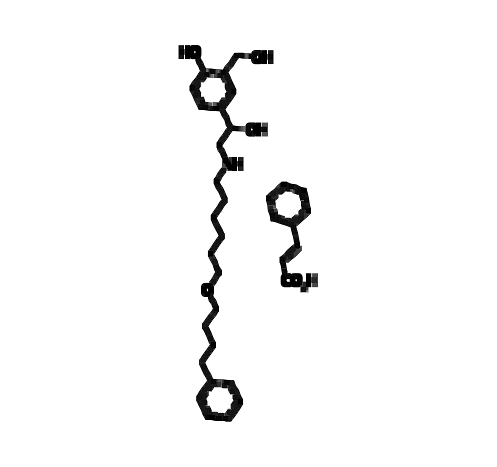 O=C(O)/C=C/c1ccccc1.OCc1cc(C(O)CNCCCCCCOCCCCc2ccccc2)ccc1O